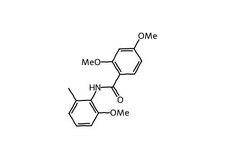 COc1ccc(C(=O)Nc2c(C)cccc2OC)c(OC)c1